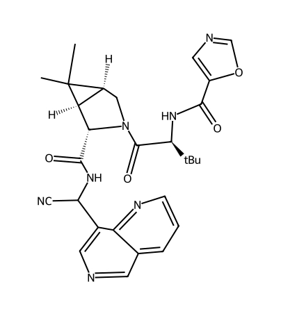 CC(C)(C)[C@H](NC(=O)c1cnco1)C(=O)N1C[C@H]2[C@@H]([C@H]1C(=O)NC(C#N)c1cncc3cccnc13)C2(C)C